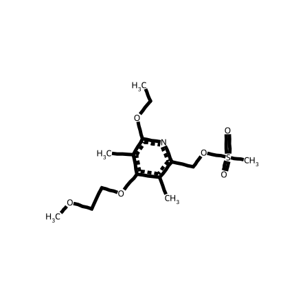 CCOc1nc(COS(C)(=O)=O)c(C)c(OCCOC)c1C